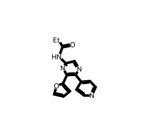 CCC(=O)Nc1cnc(-c2ccncc2)c(-c2ccco2)n1